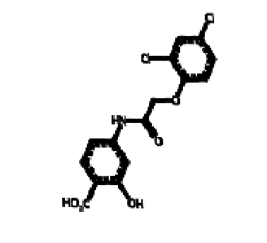 O=C(COc1ccc(Cl)cc1Cl)Nc1ccc(C(=O)O)c(O)c1